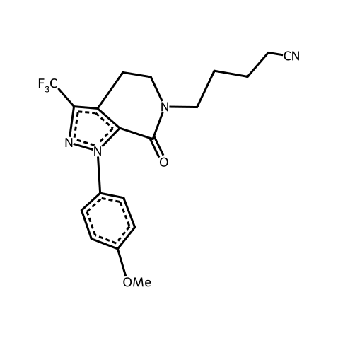 COc1ccc(-n2nc(C(F)(F)F)c3c2C(=O)N(CCCCC#N)CC3)cc1